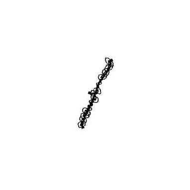 C#CCOC(COC(=O)/C=C/SCCSC=CC(=O)OCOC(=O)CC(=O)OCOC(=O)C#C)COC(=O)/C=C/SCCSC=CC(=O)OCOC(=O)CC(=O)OCOC(=O)C#C